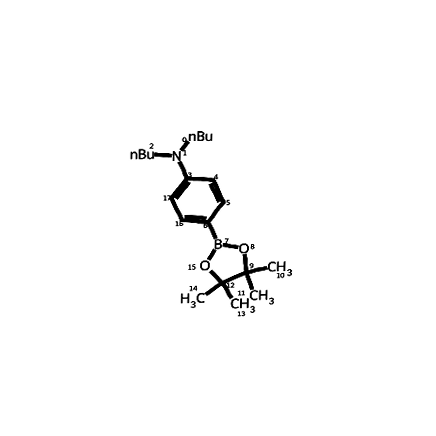 CCCCN(CCCC)c1ccc(B2OC(C)(C)C(C)(C)O2)cc1